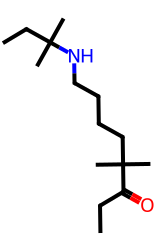 CCC(=O)C(C)(C)CCCCNC(C)(C)CC